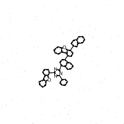 c1ccc(-c2nc(-c3ccc(-c4ccc(-c5ccc6ccccc6c5)c5oc6ccccc6c45)c4ccccc34)nc(-c3cccc4c3oc3ccccc34)n2)cc1